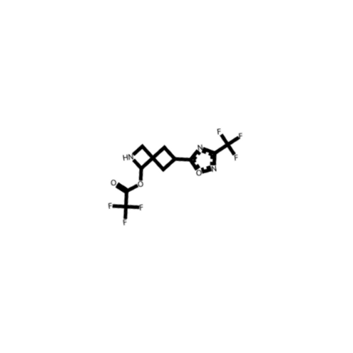 O=C(OC1NCC12CC(c1nc(C(F)(F)F)no1)C2)C(F)(F)F